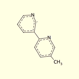 Cc1ccc(-c2[c]nccc2)nc1